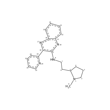 CN1CCCC1CCNc1nc2ccccc2nc1-c1ccccn1